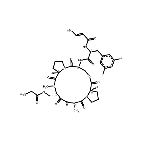 CCCC/C=C/C(=O)N[C@@H](Cc1cc(F)cc(F)c1)C(=O)N[C@H]1COC(=O)[C@@H]2CCCN2C(=O)[C@H](C)NC(=O)[C@H](COC(=O)CNC)N(C)C(=O)[C@@H]2CCCN2C1=O